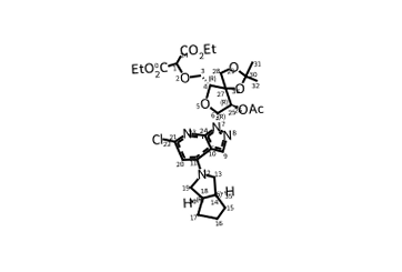 CCOC(=O)C(OC[C@H]1O[C@@H](n2ncc3c(N4C[C@H]5CCC[C@H]5C4)cc(Cl)nc32)[C@H](OC(C)=O)C12COC(C)(C)O2)C(=O)OCC